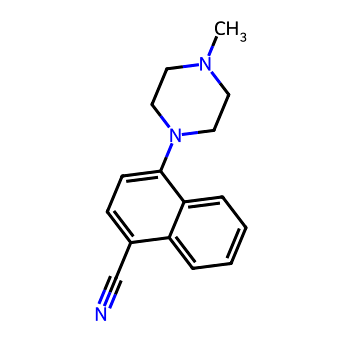 CN1CCN(c2ccc(C#N)c3ccccc23)CC1